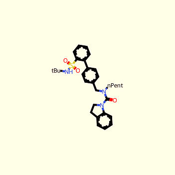 CCCCCN(Cc1ccc(-c2ccccc2S(=O)(=O)NC(C)(C)C)cc1)C(=O)N1CCc2ccccc21